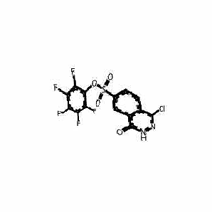 O=c1[nH]nc(Cl)c2ccc(S(=O)(=O)Oc3c(F)c(F)c(F)c(F)c3F)cc12